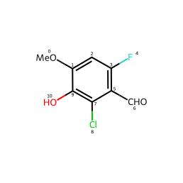 COc1cc(F)c(C=O)c(Cl)c1O